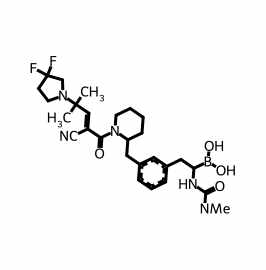 CNC(=O)NC(Cc1cccc(CC2CCCCN2C(=O)C(C#N)=CC(C)(C)N2CCC(F)(F)C2)c1)B(O)O